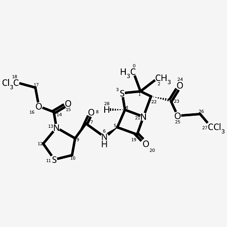 CC1(C)S[C@@H]2[C@H](NC(=O)C3CSCN3C(=O)OCC(Cl)(Cl)Cl)C(=O)N2[C@H]1C(=O)OCC(Cl)(Cl)Cl